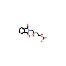 CC(=O)OCCC(=O)CN1C(=O)c2ccccc2C1=O